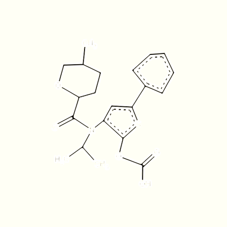 CC1CCC(C(=O)N(c2cc(-c3ccccc3)sc2OC(=O)O)C(C)C)OC1